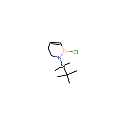 CC(C)(C)[Si](C)(C)N1CCC=CB1Cl